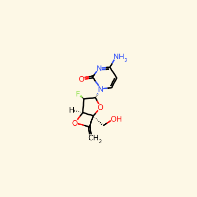 C=C1O[C@H]2[C@@H](F)[C@H](n3ccc(N)nc3=O)O[C@@]12CO